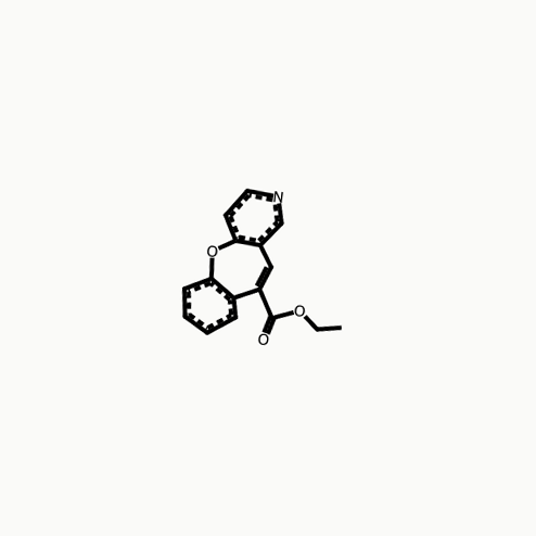 CCOC(=O)C1=Cc2cnccc2Oc2ccccc21